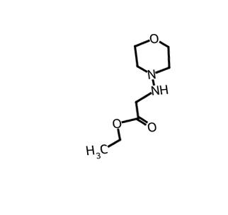 CCOC(=O)CNN1CCOCC1